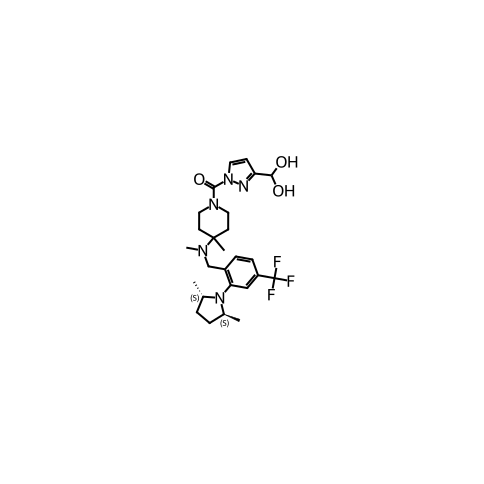 C[C@H]1CC[C@H](C)N1c1cc(C(F)(F)F)ccc1CN(C)C1(C)CCN(C(=O)n2ccc(C(O)O)n2)CC1